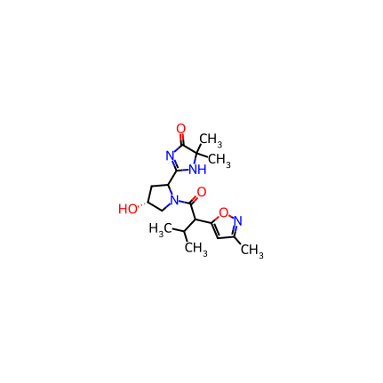 Cc1cc(C(C(=O)N2C[C@H](O)CC2C2=NC(=O)C(C)(C)N2)C(C)C)on1